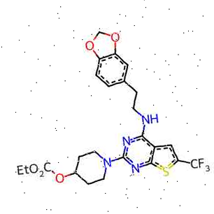 CCOC(=O)OC1CCN(c2nc(NCCc3ccc4c(c3)OCO4)c3cc(C(F)(F)F)sc3n2)CC1